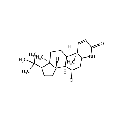 CC1CC2NC(=O)C=C[C@]2(C)[C@@H]2CC[C@]3(C)C(C(C)(C)C)CC[C@H]3[C@H]12